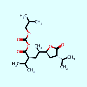 CC(C)COC(=O)OC(=O)[C@@H](C[C@@H](C)[C@@H]1C[C@@H](C(C)C)C(=O)O1)C(C)C